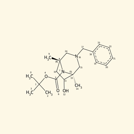 CC(C)(C)OC(=O)N1[C@]2(C)CC(O)[C@]1(C)CN(Cc1ccccc1)C2